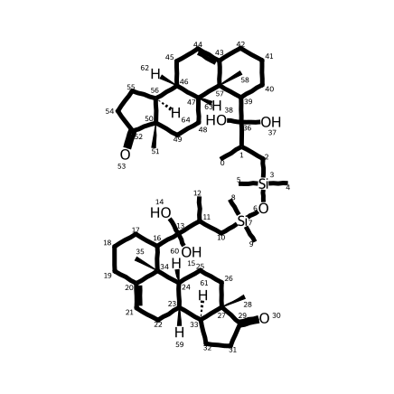 CC(C[Si](C)(C)O[Si](C)(C)CC(C)C(O)(O)C1CCCC2=CC[C@@H]3[C@@H](CC[C@]4(C)C(=O)CC[C@@H]34)[C@]21C)C(O)(O)C1CCCC2=CC[C@@H]3[C@@H](CC[C@]4(C)C(=O)CC[C@@H]34)[C@]21C